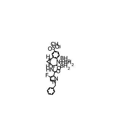 BC(B)(B)N1C(=O)[C@@H](NC(=O)c2nn(Cc3ccccc3)cc2F)[C@H]2C[C@H]2c2cc(S(C)(=O)=O)ccc21